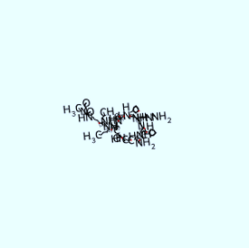 C=C(C[C@H]1CN[C@H](CN)CCCCNC(=O)CC[C@H](NC[C@H](CCCC)NC[C@H](CCCCNC(=O)CN(CC)CC=O)NCCC)CN2CCC[C@H]2CN[C@H](Cc2ccccc2)CN[C@@H](CCCNCN)CN1)c1ccccc1